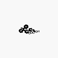 O=C(O)CN1CCC(n2nc(-c3c(-c4ccccc4)nn4ccccc34)ccc2=O)C1=O